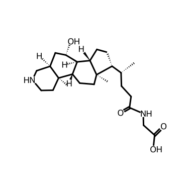 C[C@H](CCC(=O)NCC(=O)O)[C@H]1CC[C@H]2[C@@H]3[C@@H](O)C[C@@H]4CNCC[C@]4(C)[C@H]3CC[C@]12C